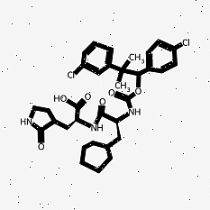 CC(C)(c1cccc(Cl)c1)C(OC(=O)N[C@@H](CC1CCCCC1)C(=O)N[C@@H](CC1CCNC1=O)C(=O)O)c1ccc(Cl)cc1